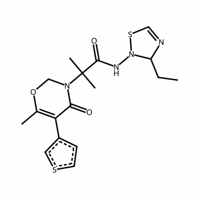 CCC1N=CSN1NC(=O)C(C)(C)N1COC(C)=C(c2ccsc2)C1=O